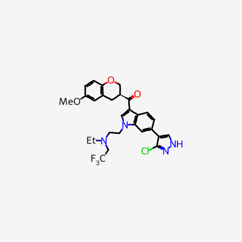 CCN(CCn1cc(C(=O)[C@@H]2COc3ccc(OC)cc3C2)c2ccc(-c3c[nH]nc3Cl)cc21)CC(F)(F)F